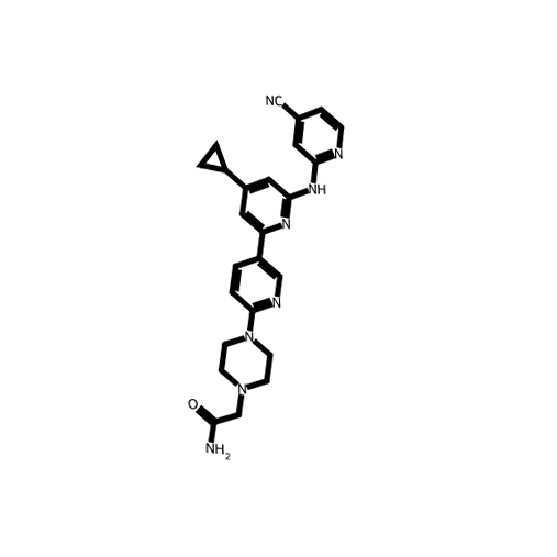 N#Cc1ccnc(Nc2cc(C3CC3)cc(-c3ccc(N4CCN(CC(N)=O)CC4)nc3)n2)c1